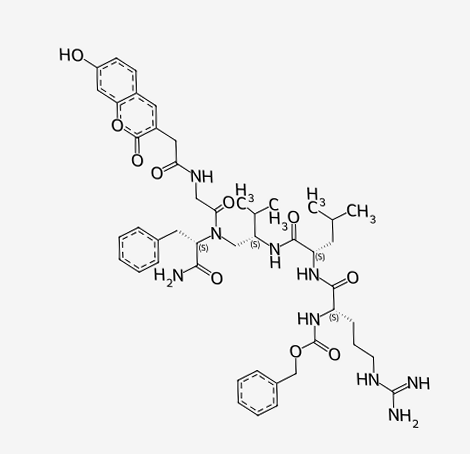 CC(C)C[C@H](NC(=O)[C@H](CCCNC(=N)N)NC(=O)OCc1ccccc1)C(=O)N[C@H](CN(C(=O)CNC(=O)Cc1cc2ccc(O)cc2oc1=O)[C@@H](Cc1ccccc1)C(N)=O)C(C)C